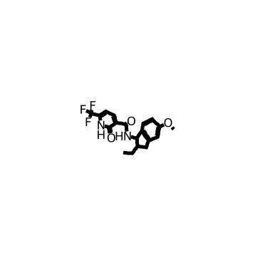 CCC1Cc2cc(OC)ccc2C1NC(=O)c1ccc(C(F)(F)F)[nH]c1=O